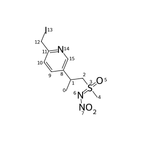 CC(CS(C)(=O)=N[N+](=O)[O-])c1ccc(CI)nc1